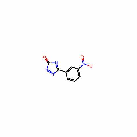 O=C1N=NC(c2cccc([N+](=O)[O-])c2)=N1